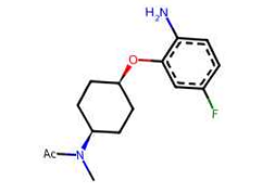 CC(=O)N(C)[C@H]1CC[C@@H](Oc2cc(F)ccc2N)CC1